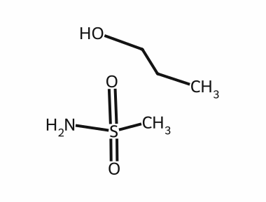 CCCO.CS(N)(=O)=O